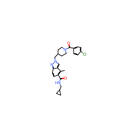 Cc1c(C(=O)NCC2CC2)ccc2nn(CC3CCN(C(=O)c4ccc(Cl)cc4)CC3)cc12